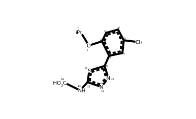 CC(C)Oc1ccc(Cl)cc1-c1nnc(NC(=O)O)s1